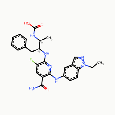 CCn1ncc2cc(Nc3nc(N[C@@H](Cc4ccccc4)[C@H](C)NC(=O)O)c(F)cc3C(N)=O)ccc21